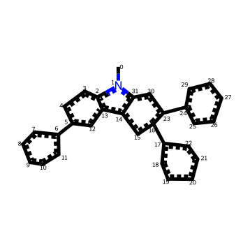 Cn1c2ccc(-c3ccccc3)cc2c2cc(-c3ccccc3)c(-c3ccccc3)cc21